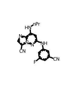 CCCNc1cc(Nc2cc(F)cc(C#N)c2)nn2c(C#N)cnc12